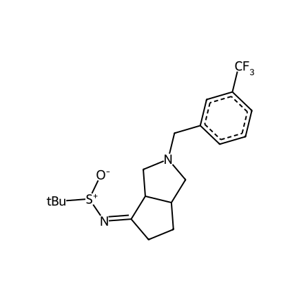 CC(C)(C)[S+]([O-])/N=C1/CCC2CN(Cc3cccc(C(F)(F)F)c3)CC12